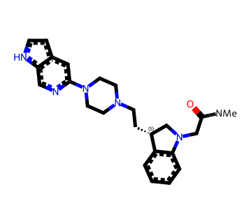 CNC(=O)CN1C[C@@H](CCN2CCN(c3cc4cc[nH]c4cn3)CC2)c2ccccc21